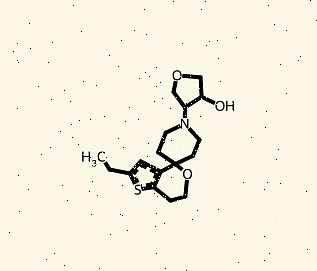 CCc1cc2c(s1)CCOC21CCN(C2COCC2O)CC1